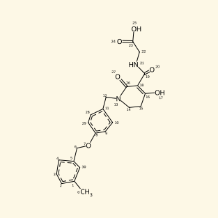 Cc1cccc(COc2ccc(CN3CCC(O)=C(C(=O)NCC(=O)O)C3=O)cc2)c1